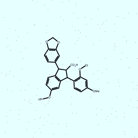 CCCOc1ccc2c(c1)C(c1ccc(OC)cc1OCC)C(C(=O)O)C2c1ccc2c(c1)OCO2